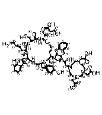 C[C@@H](O)[C@H](NC(=O)[C@@H]1CSSC[C@H](NC(=O)[C@@H](Cc2ccccc2)NC(O)CN2CCN(CC(=O)O)CCN(CC(=O)O)CCN(CC(=O)O)CC2)C(=O)NC(Cc2ccc(O)cc2)C(=O)N[C@H](Cc2c[nH]c3ccccc23)C(=O)N[C@@H](CCCCN)C(=O)N[C@@H]([C@@H](C)O)C(=O)N1)C(=O)O